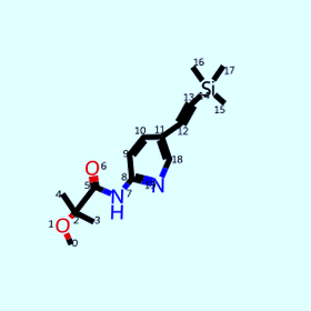 COC(C)(C)C(=O)Nc1ccc(C#C[Si](C)(C)C)cn1